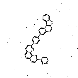 c1ccc(-c2ccc3ccc4ccc(-c5ccc(-c6ccc7c(ccc8oc9ccccc9c87)c6)cc5)nc4c3n2)cc1